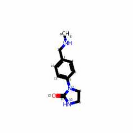 CNCc1ccc(N2CCNC2=O)cc1